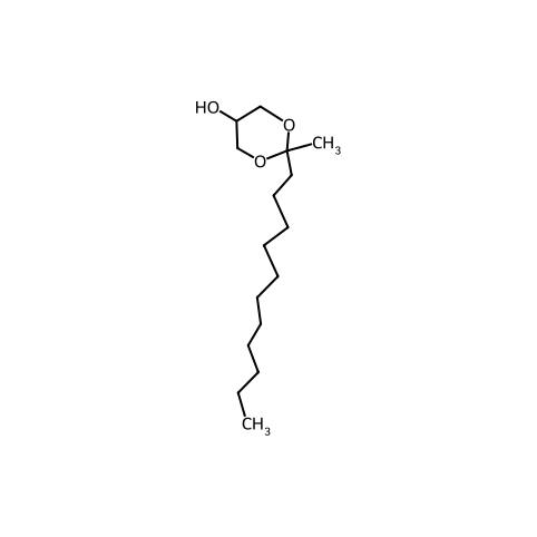 CCCCCCCCCCCC1(C)OCC(O)CO1